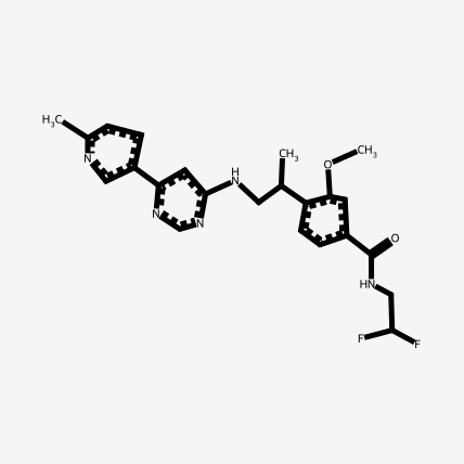 COc1cc(C(=O)NCC(F)F)ccc1C(C)CNc1cc(-c2ccc(C)nc2)ncn1